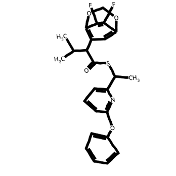 CC(SC(=O)C(c1cc2c(F)c(F)c1OCO2)C(C)C)c1cccc(Oc2ccccc2)n1